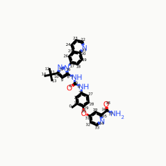 Cc1cc(NC(=O)Nc2cc(C(C)(C)C)nn2-c2ccc3ncccc3c2)ccc1Oc1ccnc(C(N)=O)c1